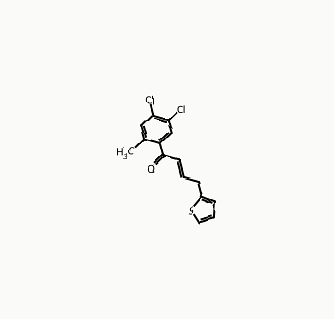 Cc1cc(Cl)c(Cl)cc1C(=O)C=CCc1cccs1